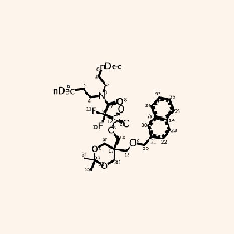 CCCCCCCCCCCCN(CCCCCCCCCCCC)C(=O)C(F)(F)S(=O)(=O)OCC1(COCc2ccc3ccccc3c2)COC(C)(C)OC1